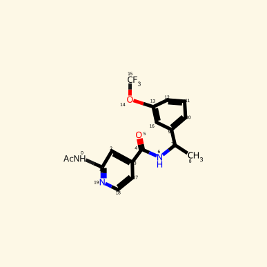 CC(=O)Nc1cc(C(=O)NC(C)c2cccc(OC(F)(F)F)c2)ccn1